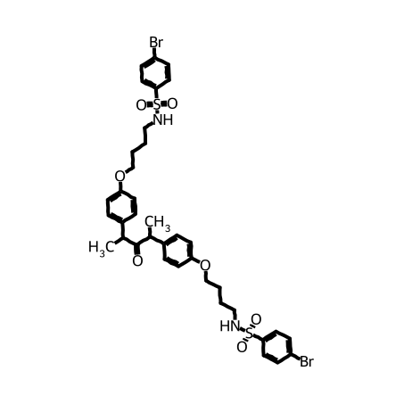 CC(C(=O)C(C)c1ccc(OCCCCNS(=O)(=O)c2ccc(Br)cc2)cc1)c1ccc(OCCCCNS(=O)(=O)c2ccc(Br)cc2)cc1